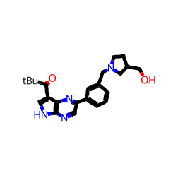 CC(C)(C)C(=O)c1c[nH]c2ncc(-c3cccc(CN4CCC(CO)C4)c3)nc12